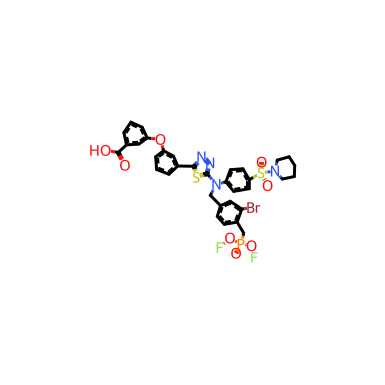 O=C(O)c1cccc(Oc2cccc(-c3nnc(N(Cc4ccc(CP(=O)(OF)OF)c(Br)c4)c4ccc(S(=O)(=O)N5CCCCC5)cc4)s3)c2)c1